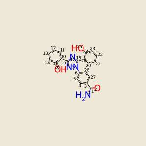 NC(=O)c1ccc(-n2nc(-c3ccccc3O)nc2-c2ccccc2O)cc1